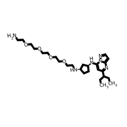 CCC(CC)c1cc(N[C@H]2CC[C@H](NCCOCCOCCOCCOCCN)C2)n2nccc2n1